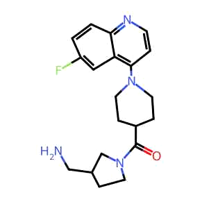 NCC1CCN(C(=O)C2CCN(c3ccnc4ccc(F)cc34)CC2)C1